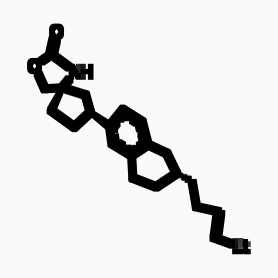 CCC=CCC[C@@H]1CCc2cc([C@H]3CC[C@]4(COC(=O)N4)C3)ccc2C1